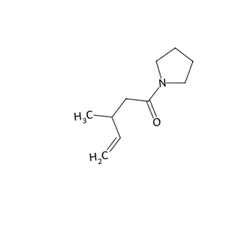 C=CC(C)CC(=O)N1CCCC1